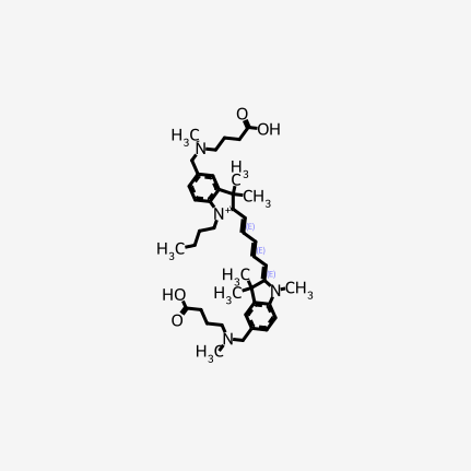 CCCC[N+]1=C(/C=C/C=C/C=C2/N(C)c3ccc(CN(C)CCCC(=O)O)cc3C2(C)C)C(C)(C)c2cc(CN(C)CCCC(=O)O)ccc21